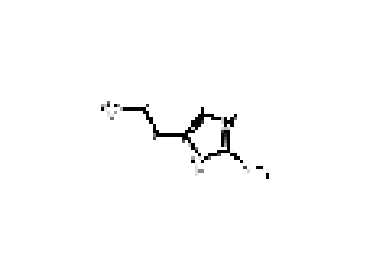 Cc1n[c]c(CCC(F)(F)F)[nH]1